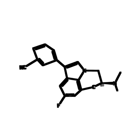 CN(C)[C@H]1Cc2cc(F)cc3c(-c4cccc(C#N)c4)cn(c23)C1